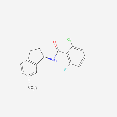 O=C(O)c1ccc2c(c1)[C@H](NC(=O)c1c(F)cccc1Cl)CC2